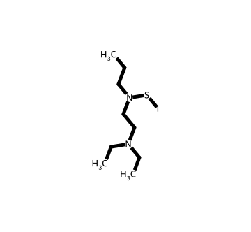 CCCN(CCN(CC)CC)SI